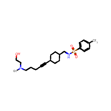 CCN(CCO)CCCC#CC1CCC(CNS(=O)(=O)c2ccc(C(F)(F)F)cc2)CC1